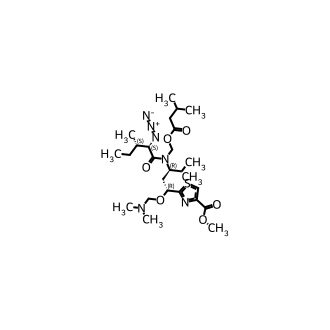 CC[C@H](C)[C@H](N=[N+]=[N-])C(=O)N(COC(=O)CC(C)C)[C@H](C[C@@H](OCN(C)C)c1nc(C(=O)OC)cs1)C(C)C